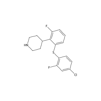 Fc1cc(Cl)ccc1Sc1cccc(F)c1C1CCNCC1